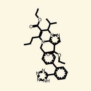 CCCC1=C(C(=O)OCC)C(C(C)C)n2ncc(C(=O)OCC)c2N1Cc1ccc(-c2ccccc2-c2nnn[nH]2)cc1